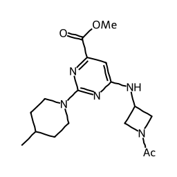 COC(=O)c1cc(NC2CN(C(C)=O)C2)nc(N2CCC(C)CC2)n1